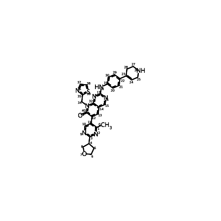 Cc1nc(C2CCOC2)ncc1-c1cc2cnc(Nc3ccc(C4=CCNCC4)cc3)nc2n(Cc2nccs2)c1=O